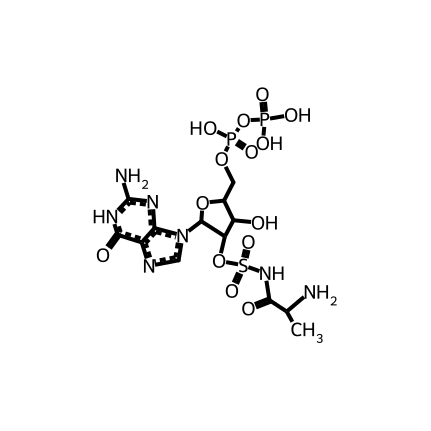 CC(N)C(=O)NS(=O)(=O)OC1C(O)C(COP(=O)(O)OP(=O)(O)O)OC1n1cnc2c(=O)[nH]c(N)nc21